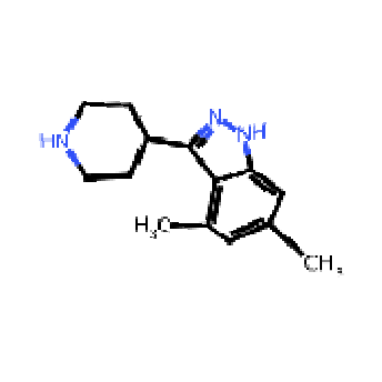 Cc1cc(C)c2c(C3CCNCC3)n[nH]c2c1